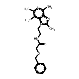 Cc1nc(N)c2nc(C)n(CCNC(=O)COCc3ccccc3)c2c1C